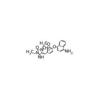 CCN1C(=N)/C(=C/c2ccc(Oc3ccc(N)c4ccccc34)c(OC)c2)N(C)C1=O